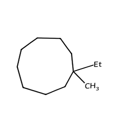 [CH2]CC1(C)CCCCCCCC1